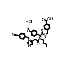 CC[C@H](C)[C@@H](CN(Cc1ccc(C(=O)O)cc1)C(=S)Nc1ccc(OC)cc1)NC(=O)Cc1cncn1Cc1ccc(C#N)cc1.Cl